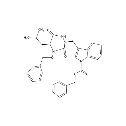 CC(C)C[C@H]1C(=O)N[C@@H](Cc2cn(C(=O)OCc3ccccc3)c3ccccc23)C(=O)N1OCc1ccccc1